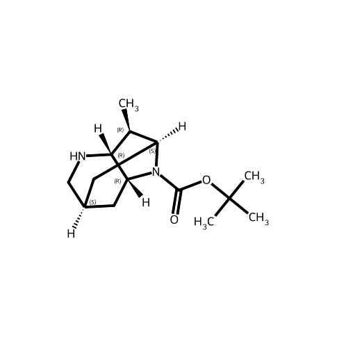 C[C@@H]1[C@H]2NC[C@@H]3C[C@H]2N(C(=O)OC(C)(C)C)[C@H]1C3